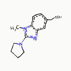 Cn1c(N2CCCC2)nc2cc(C(C)(C)C)ccc21